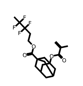 C=C(C)C(=O)OC12CC3CC(C1)CC(C(=O)OCCC(F)(F)C(C)(F)F)(C3)C2